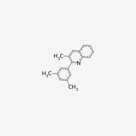 Cc1cc(C)cc(-c2nc3ccccc3cc2C)c1